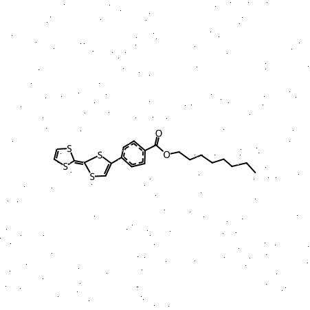 CCCCCCCCOC(=O)c1ccc(C2=CSC(=C3SC=CS3)S2)cc1